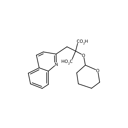 O=C(O)C(Cc1ccc2ccccc2n1)(OC1CCCCO1)C(=O)O